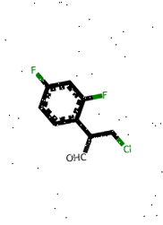 O=CC(CCl)c1ccc(F)cc1F